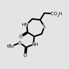 CC(C)(C)OC(=O)NC1CSC(CC(=O)O)CNC1=O